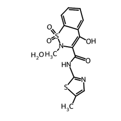 Cc1cnc(NC(=O)C2=C(O)c3ccccc3S(=O)(=O)N2C)s1.O